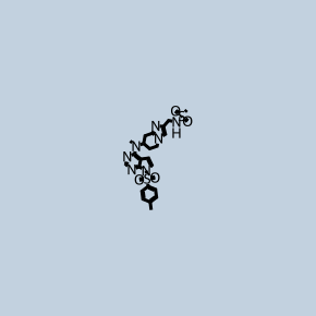 Cc1ccc(S(=O)(=O)n2ccc3c(N(C)C4CCn5cc(CNS(C)(=O)=O)nc5C4)ncnc32)cc1